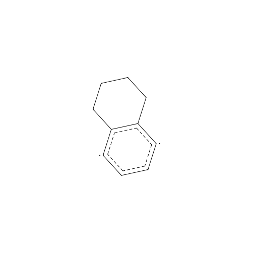 [c]1cc[c]c2c1CCCC2